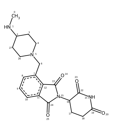 CNC1CCN(Cc2cccc3c2C(=O)N(C2CCC(=O)NC2=O)C3=O)CC1